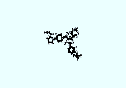 Cn1c(-c2cccc(OC(F)(F)F)c2)nc(-c2cncnc2)c1C(=O)N1CCC(N2CCC[C@H]2CO)CC1